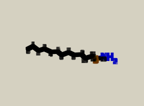 CCCCCCCCCCCCSN